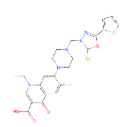 CCn1cc(C(=O)O)c(=O)c2cc(F)c(N3CCN(CN4N=C(c5cccs5)OC4S)CC3)cc21